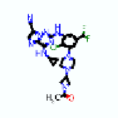 CC(=O)N1CC(N2CCN(c3cc(C(F)F)cc(Nc4nc(NC5CC5)c5ncc(C#N)n5n4)c3Cl)CC2)C1